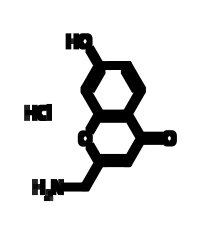 Cl.NCc1cc(=O)c2ccc(O)cc2o1